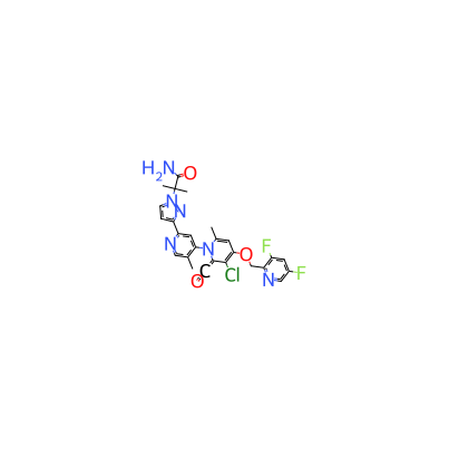 CC1=CC(OCc2ncc(F)cc2F)=C(Cl)C(=C=O)N1c1cc(-c2ccn(C(C)(C)C(N)=O)n2)ncc1C